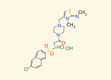 C/N=c1\scc(CN2CCN(C(=O)CCS(=O)(=O)c3ccc4cc(Cl)ccc4c3)CC2)n1C.Cl.Cl